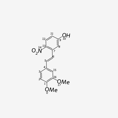 COc1ccc(C=Cc2cc(O)ccc2[N+](=O)[O-])cc1OC